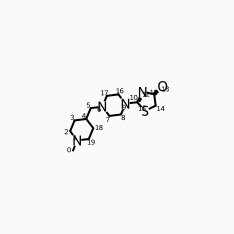 CN1CCC(CN2CCN(C3=NC(=O)CS3)CC2)CC1